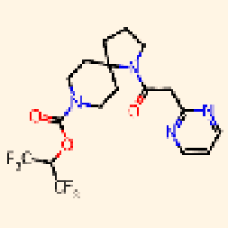 O=C(OC(C(F)(F)F)C(F)(F)F)N1CCC2(CCCN2C(=O)Cc2ncccn2)CC1